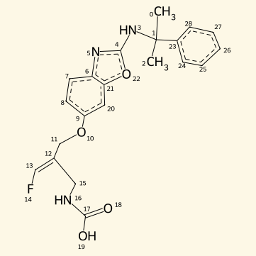 CC(C)(Nc1nc2ccc(OC/C(=C/F)CNC(=O)O)cc2o1)c1ccccc1